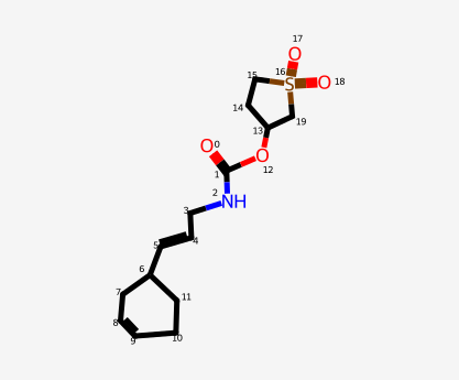 O=C(NC/C=C/C1CC=CCC1)OC1CCS(=O)(=O)C1